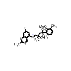 COc1c(C)cccc1C(C)(C)CC(O)(/C=N/c1cc(F)cc2nc(C)ncc12)C(F)(F)F